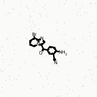 N#Cc1cc(C(=O)c2cnc3c(Br)cccn23)ccc1N